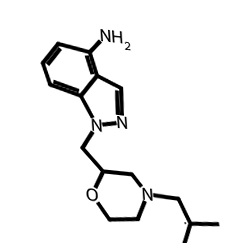 C[C](C)CN1CCOC(Cn2ncc3c(N)cccc32)C1